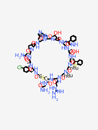 CCCC[C@H]1C(=O)N(C)[C@@H](CCCC)C(=O)N[C@@H](CCCNC(=N)N)C(=O)N[C@H](C(=O)NCC(N)=O)CSCC(=O)N[C@@H](Cc2ccc(Cl)cc2)C(=O)N(C)[C@@H](C)C(=O)N[C@@H](CC(N)=O)C(=O)N2CCC[C@H]2C(=O)N[C@@H](Cc2cnc[nH]2)C(=O)N[C@@H](CC(C)C)C(=O)N2C[C@H](O)C[C@H]2C(=O)N[C@@H](Cc2c[nH]c3ccccc23)C(=O)N[C@@H](CO)C(=O)N[C@@H](Cc2csc3ccccc23)C(=O)N1C